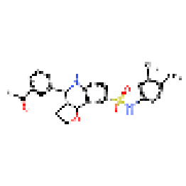 Cc1ccc(NS(=O)(=O)c2ccc3c(c2)C2OCCC2C(c2cccc(C(=O)C(C)C)c2)N3)cc1C